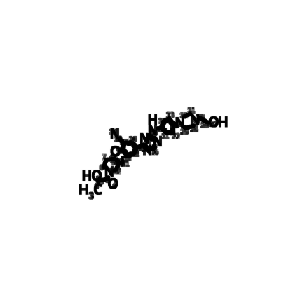 C[C@H](O)C(=O)N1CC[C@H](Oc2ccc(-c3ncnc(Nc4ccc(N5CCN(CCO)CC5)cc4)n3)cc2C#N)[C@@H](F)C1